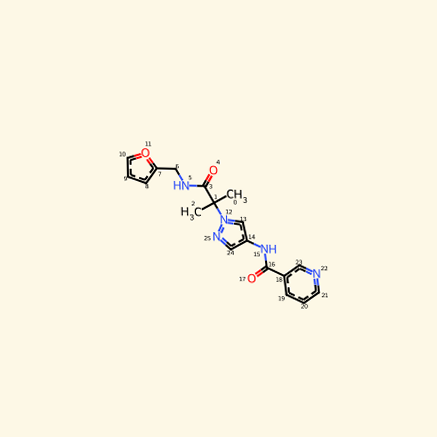 CC(C)(C(=O)NCc1ccco1)n1cc(NC(=O)c2cccnc2)cn1